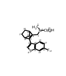 CN(C)CC1=C(c2csc3cc(F)ccc23)C2CCC1C2.Cl